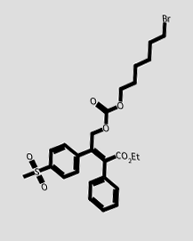 CCOC(=O)/C(=C(\COC(=O)OCCCCCCBr)c1ccc(S(C)(=O)=O)cc1)c1ccccc1